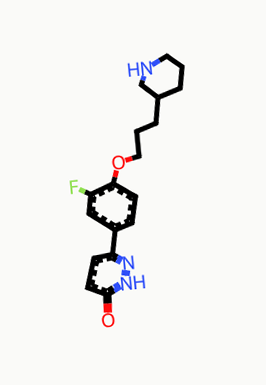 O=c1ccc(-c2ccc(OCCCC3CCCNC3)c(F)c2)n[nH]1